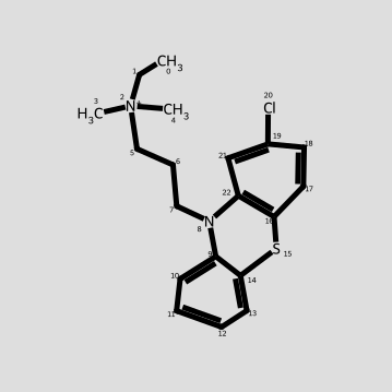 CC[N+](C)(C)CCCN1c2ccccc2Sc2ccc(Cl)cc21